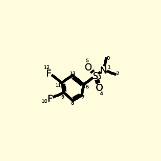 CN(C)S(=O)(=O)c1ccc(F)c(F)c1